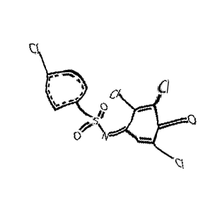 O=C1C(Cl)=CC(=NS(=O)(=O)c2ccc(Cl)cc2)C(Cl)=C1Cl